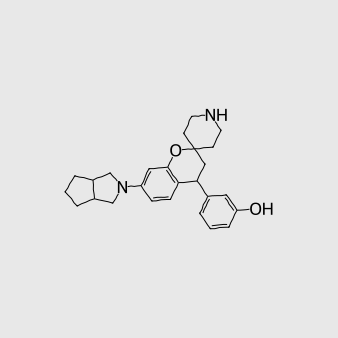 Oc1cccc(C2CC3(CCNCC3)Oc3cc(N4CC5CCCC5C4)ccc32)c1